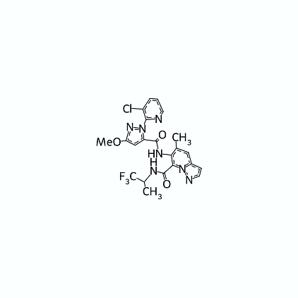 COc1cc(C(=O)Nc2c(C)cc3ccnn3c2C(=O)NC(C)C(F)(F)F)n(-c2ncccc2Cl)n1